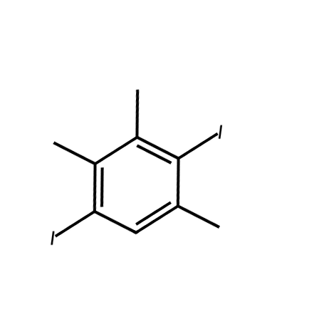 Cc1cc(I)c(C)c(C)c1I